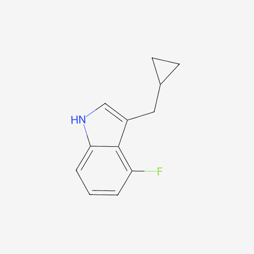 Fc1cccc2[nH]cc(CC3CC3)c12